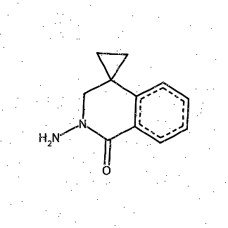 NN1CC2(CC2)c2ccccc2C1=O